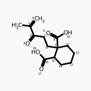 C=C(C)C(=O)CCC1(C(=O)O)CCCCC1C(=O)O